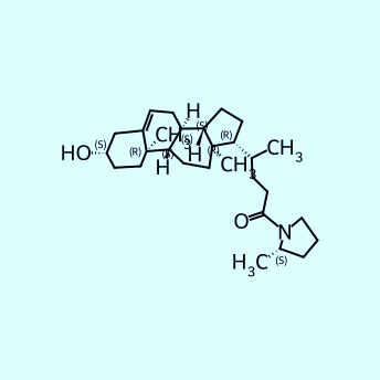 CC(CCC(=O)N1CCC[C@@H]1C)[C@H]1CC[C@H]2[C@@H]3CC=C4C[C@@H](O)CC[C@]4(C)[C@H]3CC[C@]12C